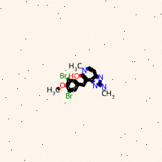 CN=c1nc2ccn(C)c(O)c(Cc3cc(Br)c(OC)c(Br)c3)c-2n1